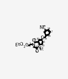 CCOC(=O)CCN1CC(=O)N(CC)c2ccc(OCc3cccc(C#N)c3)cc2C1=O